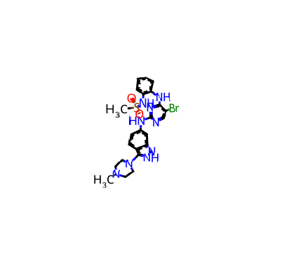 CN1CCN(c2[nH]nc3cc(Nc4ncc(Br)c(Nc5ccccc5NS(C)(=O)=O)n4)ccc23)CC1